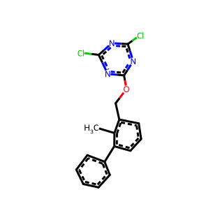 Cc1c(COc2nc(Cl)nc(Cl)n2)cccc1-c1ccccc1